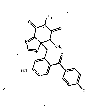 CN1C(=O)C2=NC=NC2(Cc2ccccc2C(=O)c2ccc(Cl)cc2)N(C)C1=O.Cl